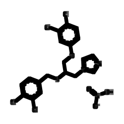 Clc1ccc(CSC(COc2ccc(Cl)c(Cl)c2)Cn2ccnc2)cc1Cl.O=[N+]([O-])O